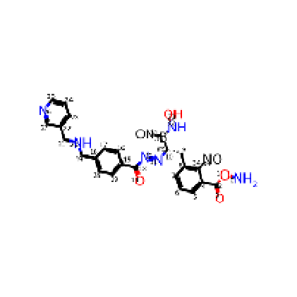 NOC(=O)c1cccc(C[C@H](N=NC(=O)c2ccc(CNCc3cccnc3)cc2)B(N=O)NO)c1N=O